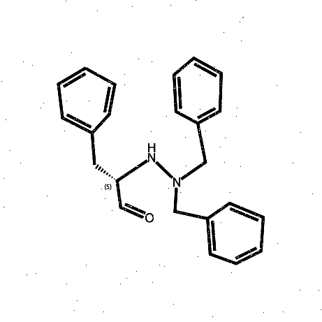 O=C[C@H](Cc1ccccc1)NN(Cc1ccccc1)Cc1ccccc1